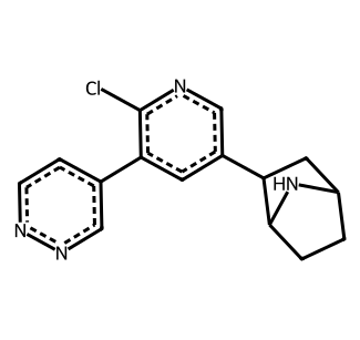 Clc1ncc(C2CC3CCC2N3)cc1-c1ccnnc1